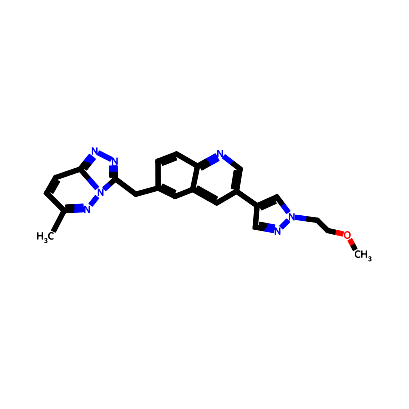 COCCn1cc(-c2cnc3ccc(Cc4nnc5ccc(C)nn45)cc3c2)cn1